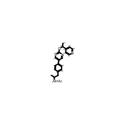 CC(=O)NC(C)Cc1ccc(-c2cnc(OC(C)c3ccncc3)nc2)cc1